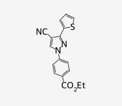 CCOC(=O)c1ccc(-n2cc(C#N)c(-c3cccs3)n2)cc1